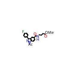 COC(=O)CCCNC(=O)c1ccc2c(c1)c(-c1ccc(F)cc1)nn2C(C)=O